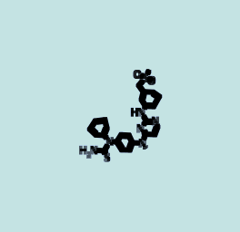 CN(c1ccc(N(C(N)=S)c2ccccc2)cc1)c1ccnc(Nc2cccc(CS(C)(=O)=O)c2)n1